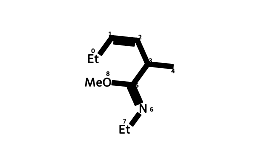 CC/C=C\C(C)/C(=N/CC)OC